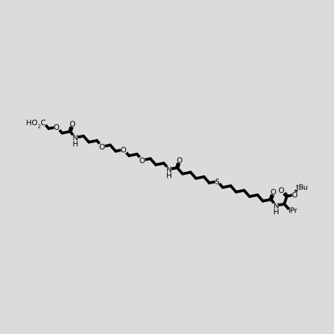 CC(C)C(NC(=O)CCCCCCCSCCCCCC(=O)NCCCOCCOCCOCCCNC(=O)COCC(=O)O)C(=O)OC(C)(C)C